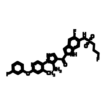 Cc1cc(Oc2cccc(F)c2)ncc1-n1ncc(C(=O)c2cc3cc(F)c(NS(=O)(=O)CCCF)cc3[nH]2)c1N